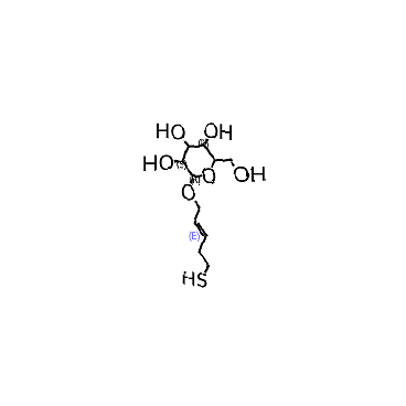 OCC1O[C@@H](OC/C=C/CCS)[C@@H](O)C(O)[C@H]1O